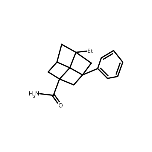 CCC12CC3CC4(C(N)=O)CC(c5ccccc5)(C1)C324